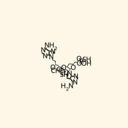 CO[C@@H](CCn1cnc2c(N)ncnc21)COP(=O)(S)O[C@@H]1C[C@@H](COP(=O)(O)S)O[C@H]1n1ccc2c(N)ncnc21